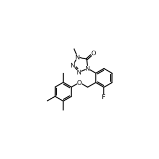 Cc1cc(C)c(OCc2c(F)cccc2-n2nnn(C)c2=O)cc1C